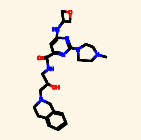 CN1CCN(c2nc(NC3COC3)cc(C(=O)NCC(O)CN3CCc4ccccc4C3)n2)CC1